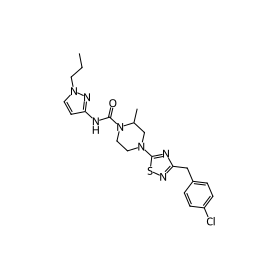 CCCn1ccc(NC(=O)N2CCN(c3nc(Cc4ccc(Cl)cc4)ns3)CC2C)n1